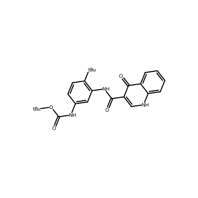 CC(C)(C)OC(=O)Nc1ccc(C(C)(C)C)c(NC(=O)c2c[nH]c3ccccc3c2=O)c1